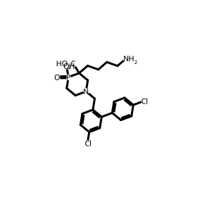 NCCCCC1(C(=O)O)CN(Cc2ccc(Cl)cc2-c2ccc(Cl)cc2)CCP1(=O)O